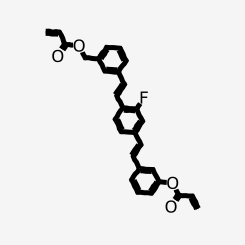 C=CC(=O)OCc1cccc(/C=C/c2ccc(/C=C/c3cccc(OC(=O)C=C)c3)cc2F)c1